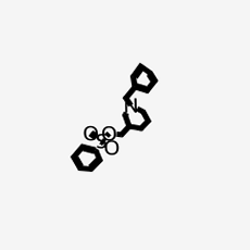 O=S(=O)(OCC1CCCN(Cc2ccccc2)C1)c1ccccc1